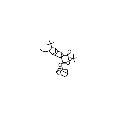 CCC(C)(C)C1C2CC(C3C4CC(C(C(=O)OC56CC7CC(CC(C7)C5)C6)C4C(=O)OC(C)(C)C)C23)C1C(C)(C)C